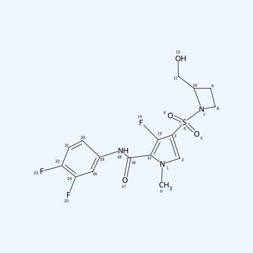 Cn1cc(S(=O)(=O)N2CCC2CO)c(F)c1C(=O)Nc1ccc(F)c(F)c1